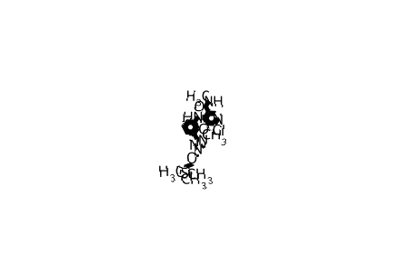 CNC(=O)c1cnc(Cl)cc1Nc1cccc(-c2ncn(COCC[Si](C)(C)C)n2)c1OC